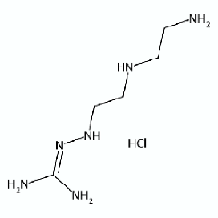 Cl.NCCNCCNN=C(N)N